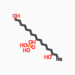 O=P(O)(O)O.OCCCCCCCCCCCCCCC(O)[CH2][Na]